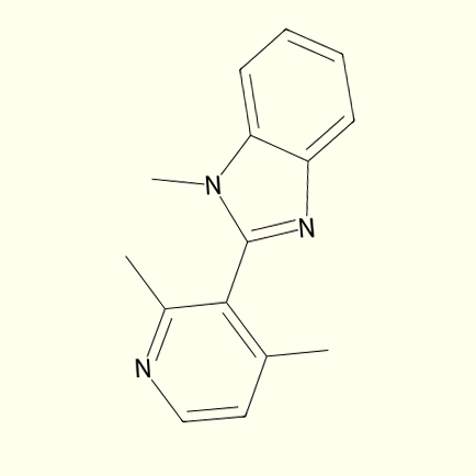 Cc1ccnc(C)c1-c1nc2ccccc2n1C